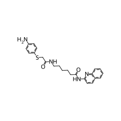 Nc1ccc(SCC(=O)NCCCCCC(=O)Nc2ccc3ccccc3n2)cc1